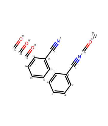 N#Cc1ccccc1.N#Cc1ccccc1.[C]=O.[C]=O.[C]=O.[C]=O.[W]